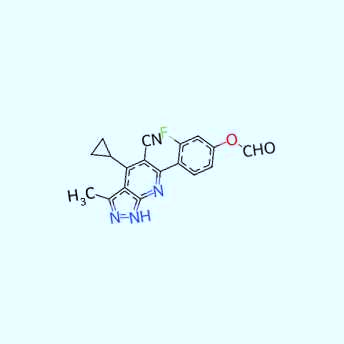 Cc1n[nH]c2nc(-c3ccc(OC=O)cc3F)c(C#N)c(C3CC3)c12